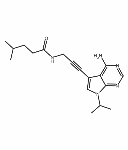 CC(C)CCC(=O)NCC#Cc1cn(C(C)C)c2ncnc(N)c12